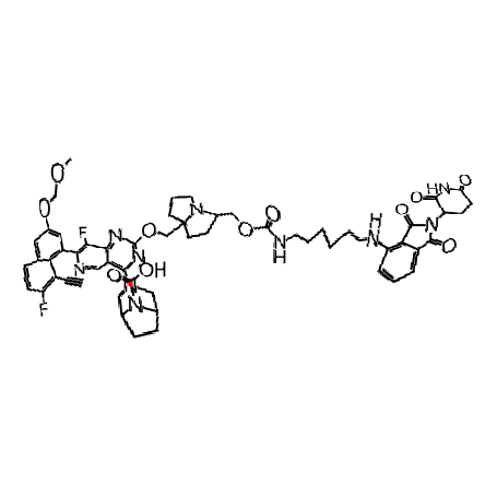 C#Cc1c(F)ccc2cc(OCOC)cc(-c3ncc4c(N5CC6CCC(C5)N6C(=O)O)nc(OCC56CCCN5C(COC(=O)NCCCCCCNc5cccc7c5C(=O)N(C5CCC(=O)NC5=O)C7=O)CC6)nc4c3F)c12